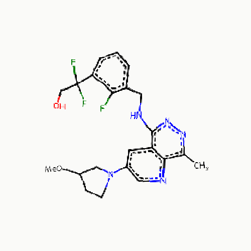 COC1CCN(c2cnc3c(C)nnc(NCc4cccc(C(F)(F)CO)c4F)c3c2)C1